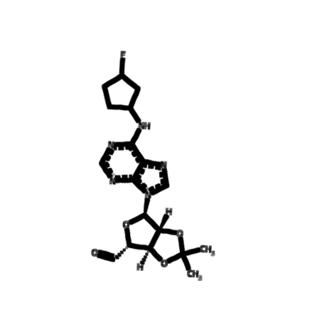 CC1(C)O[C@@H]2[C@@H](O1)[C@H](n1cnc3c(NC4CCC(F)C4)ncnc31)O[C@H]2C=O